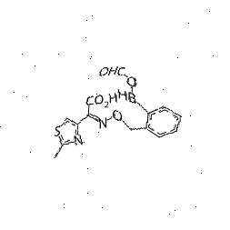 Cc1nc(/C(=N/OCc2ccccc2BOC=O)C(=O)O)cs1